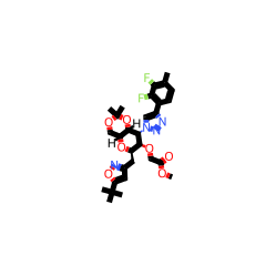 COC(=O)CO[C@@H]1[C@@H](n2cc(-c3ccc(C)c(F)c3F)nn2)[C@H]2OC(C)(C)OC[C@H]2O[C@@H]1Cc1cc(C(C)(C)C)on1